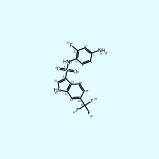 Nc1ccc(NS(=O)(=O)c2c[nH]c3cc(C(F)(F)F)ccc23)c(F)c1